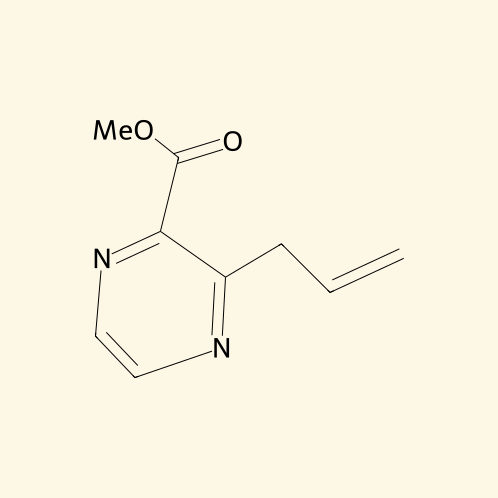 C=CCc1nccnc1C(=O)OC